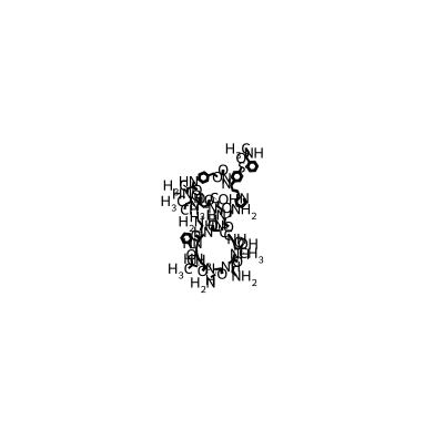 CNC(=O)c1ccccc1Sc1ccc2c(/C=C/c3ccccn3)nn(C(=O)OCc3ccc(NC(=O)[C@H](C)NC(=O)[C@@H](NC(=O)CC(=O)N[C@H](C(=O)N[C@@H](CCN)C(=O)N[C@H]4CCNC(=O)[C@H]([C@@H](C)O)NC(=O)[C@H](CCN)NC(=O)[C@H](CCN)NC(=O)[C@H](CC(C)C)NC(=O)[C@@H](Cc5ccccc5)NC(=O)[C@H](CCN)NC4=O)[C@H](C)O)C(C)C)cc3)c2c1